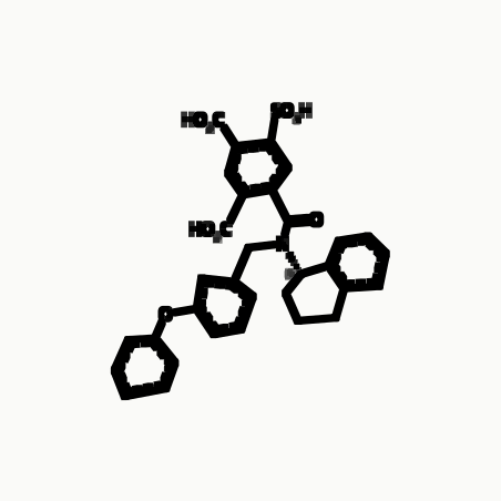 O=C(O)c1cc(C(=O)O)c(S(=O)(=O)O)cc1C(=O)N(Cc1cccc(Oc2ccccc2)c1)[C@H]1CCCc2ccccc21